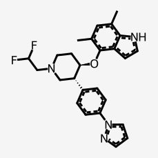 Cc1cc(C)c2[nH]ccc2c1O[C@@H]1CCN(CC(F)F)C[C@H]1c1ccc(-n2cccn2)cc1